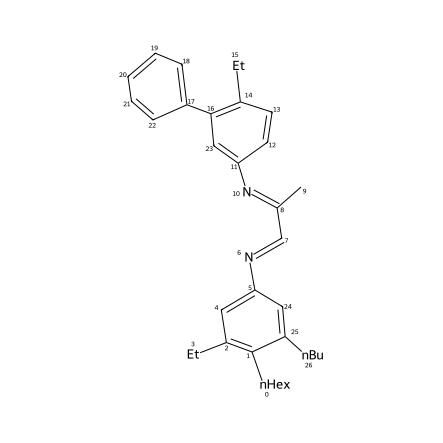 CCCCCCc1c(CC)cc(N=CC(C)=Nc2ccc(CC)c(-c3ccccc3)c2)cc1CCCC